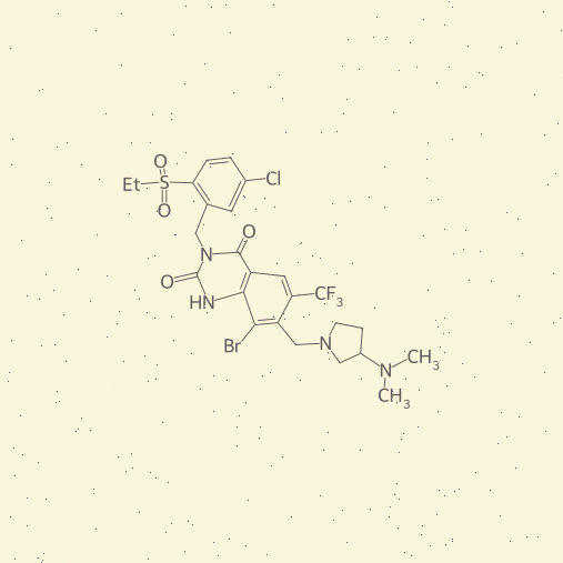 CCS(=O)(=O)c1ccc(Cl)cc1Cn1c(=O)[nH]c2c(Br)c(CN3CCC(N(C)C)C3)c(C(F)(F)F)cc2c1=O